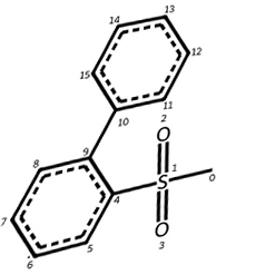 CS(=O)(=O)c1c[c]ccc1-c1ccccc1